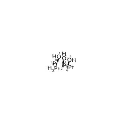 CC(C)O.CC(C)O.CC(C)O.P